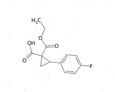 CCOC(=O)C1(C(=O)O)CC1c1ccc(F)cc1